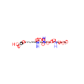 O=[C]COCCOCCNC(=O)COCCOCCNC(=O)CC[C@H](NC(=O)CCCCCCCCCOc1ccc(C(=O)O)cc1)C(=O)O